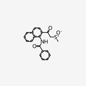 C[S+]([O-])CC(=O)c1ccc2ccccc2c1NC(=O)c1ccccc1